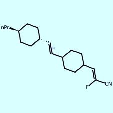 CCC[C@H]1CC[C@H](/C=C/C2CCC(C=C(F)C#N)CC2)CC1